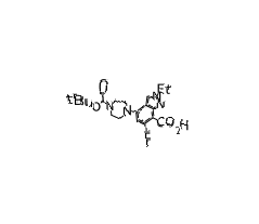 CCn1cc2c(N3CCN(C(=O)OC(C)(C)C)CC3)cc(F)c(C(=O)O)c2n1